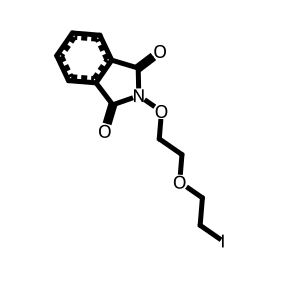 O=C1c2ccccc2C(=O)N1OCCOCCI